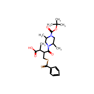 CC(C(=O)O)C(CSC(=S)c1ccccc1)C(=O)N1CC(C)N(C(=O)OC(C)(C)C)CC1C